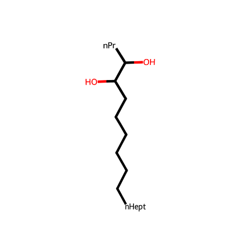 CCCCCCCCCCCCCC(O)C(O)CCC